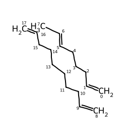 C=CCCCC=CC.C=CCCCCCCC=C